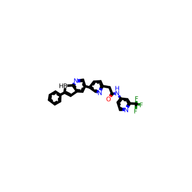 O=C(Cc1ccc(-c2cnc3c(c2)C=C(c2ccccc2)B3)cn1)Nc1ccnc(C(F)(F)F)c1